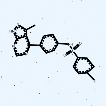 Cc1n[nH]c2ncnc(-c3ccc(NS(=O)(=O)c4ccc(F)cc4)cc3)c12